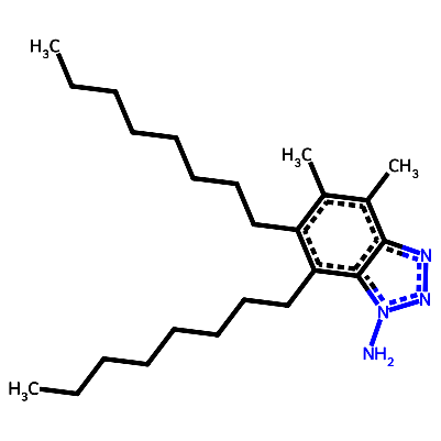 CCCCCCCCc1c(C)c(C)c2nnn(N)c2c1CCCCCCCC